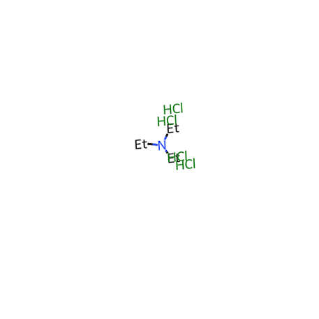 CCN(CC)CC.Cl.Cl.Cl.Cl